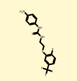 Nc1ccc(NC(=S)NCCSc2cc(C(F)(F)F)ccc2F)cc1